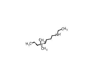 CCC[N+](C)(C)CCCCNCC